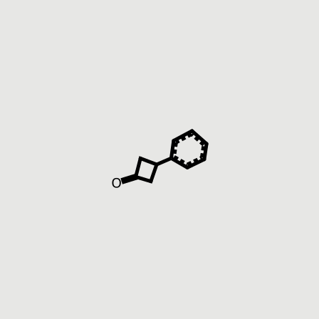 O=C1CC(c2ccccc2)C1